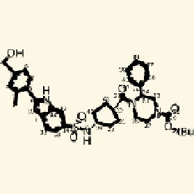 Cc1cc(CO)ccc1-c1cc2ccc(S(=O)(=O)N[C@H]3CC[C@H](C(=O)N4CCN(C(=O)OC(C)(C)C)C[C@@H]4c4ccccc4)CC3)cc2[nH]1